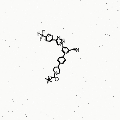 CC(C)(C)OC(=O)N1CCC(c2ccc(-c3cc(C#N)cc(-n4cc(-c5ccc(C(F)(F)F)cc5)nn4)c3)cc2)CC1